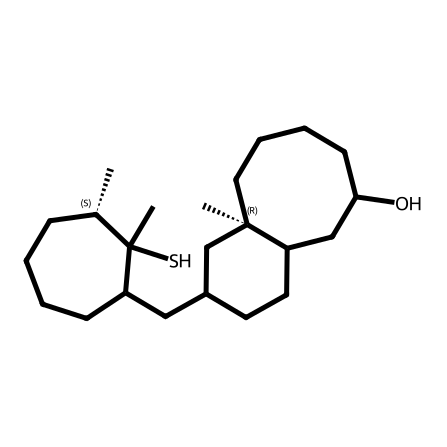 C[C@H]1CCCCC(CC2CCC3CC(O)CCCC[C@]3(C)C2)C1(C)S